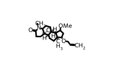 C=CCOC1CC(OC)[C@H]2[C@@H]3CCC4N(C)C(=O)CC[C@]4(C)[C@@H]3CC[C@]12C